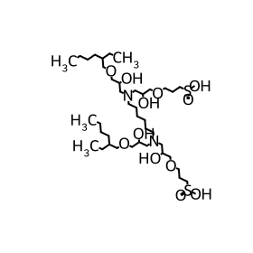 CCCCC(CC)COCC(O)CN(CCCCCCN(CC(O)COCCCS(=O)O)CC(O)COCC(CC)CCCC)CC(O)COCCCS(=O)O